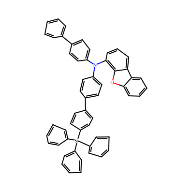 c1ccc(-c2ccc(N(c3ccc(-c4ccc([Si](c5ccccc5)(c5ccccc5)c5ccccc5)cc4)cc3)c3cccc4c3oc3ccccc34)cc2)cc1